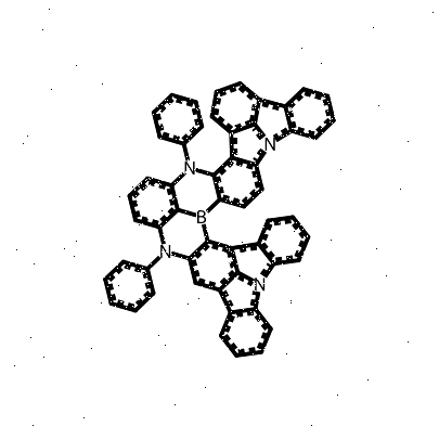 c1ccc(N2c3cccc4c3B(c3ccc5c(c3N4c3ccccc3)c3cccc4c6ccccc6n5c43)c3c2cc2c4ccccc4n4c5ccccc5c3c24)cc1